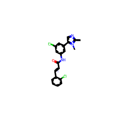 Cc1ncc(-c2cc(Cl)cc(NC(=O)/C=C/c3ccccc3Cl)c2)n1C